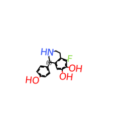 Oc1ccc([C@H]2CNCCc3c2cc(O)c(O)c3F)cc1